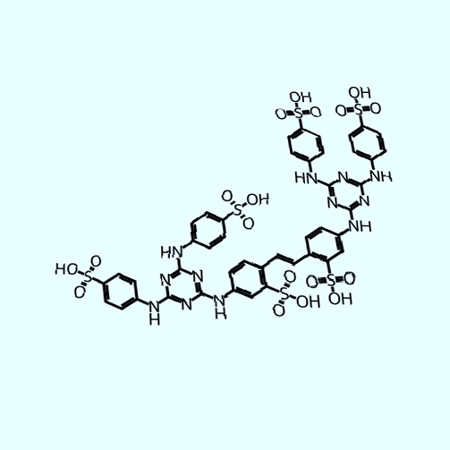 O=S(=O)(O)c1ccc(Nc2nc(Nc3ccc(S(=O)(=O)O)cc3)nc(Nc3ccc(C=Cc4ccc(Nc5nc(Nc6ccc(S(=O)(=O)O)cc6)nc(Nc6ccc(S(=O)(=O)O)cc6)n5)cc4S(=O)(=O)O)c(S(=O)(=O)O)c3)n2)cc1